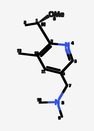 CO[C@@H](C)c1ncc(CN(C)C)cc1C